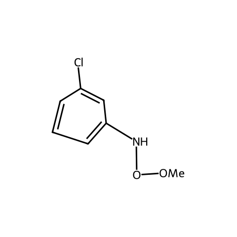 COONc1cccc(Cl)c1